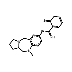 CN1CC2CCCN2Cc2cc(NC(=N)C3=CC=CCC3=S)ccc21